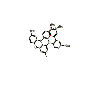 Cc1cc2c3c(c1)N(c1ccc(C(C)(C)C)cc1-c1ccc(C(C)(C)C)c(C(C)(C)C)c1)c1cc(C(C)(C)C)ccc1B3c1cc(C(C)(C)C)ccc1O2